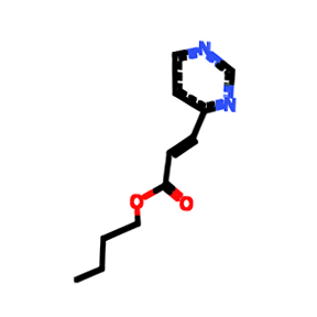 CCCCOC(=O)/C=C/c1ccncn1